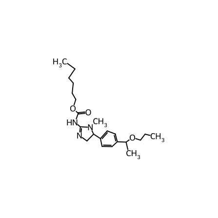 CCCCCCOC(=O)NC1=NCC(c2ccc(C(C)OCCC)cc2)N1C